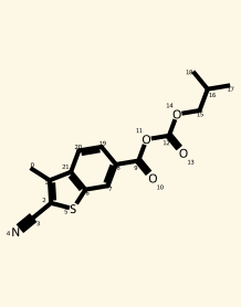 Cc1c(C#N)sc2cc(C(=O)OC(=O)OCC(C)C)ccc12